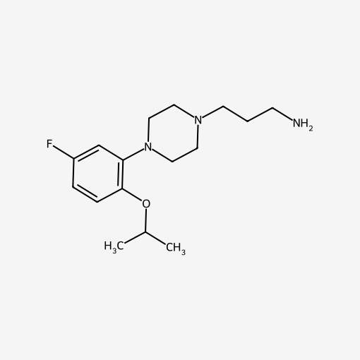 CC(C)Oc1ccc(F)cc1N1CCN(CCCN)CC1